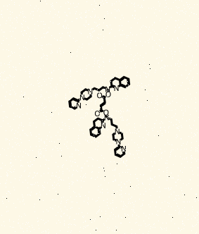 O=C(/C=C/C(=O)ON(CCCN1CCN(c2ccccn2)CC1)C1=Nc2ccccc2CC1)ON(CCCN1CCN(c2ccccn2)CC1)C1=Nc2ccccc2CC1